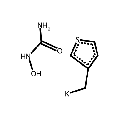 NC(=O)NO.[K][CH2]c1ccsc1